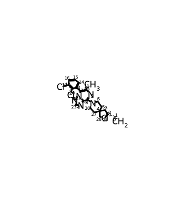 C=C[C@H]1CC2(CCN(c3nc(C)c(-c4cccc(Cl)c4Cl)n4ncnc34)CC2)CO1